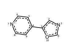 [c]1ncc(-c2ccncc2)o1